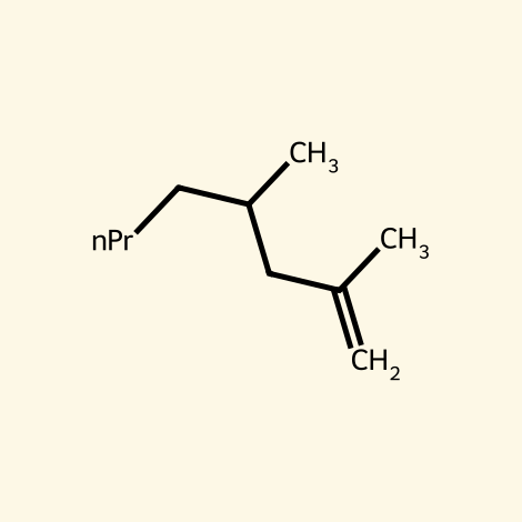 C=C(C)CC(C)CCCC